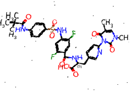 Cc1cn(C)c(=O)n(-c2ccc(C[C@H](NC(=O)c3cc(F)c(NS(=O)(=O)c4ccc(NC(=O)C(C)(C)C)cc4)cc3F)C(=O)O)cn2)c1=O